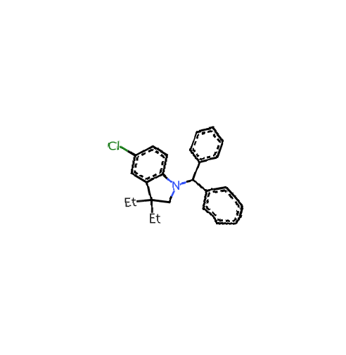 CCC1(CC)CN(C(c2ccccc2)c2ccccc2)c2ccc(Cl)cc21